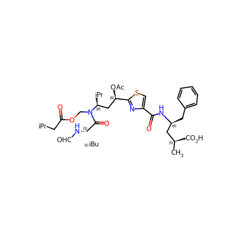 CC[C@H](C)[C@H](NC=O)C(=O)N(COC(=O)CC(C)C)[C@H](C[C@@H](OC(C)=O)c1nc(C(=O)N[C@@H](Cc2ccccc2)C[C@H](C)C(=O)O)cs1)C(C)C